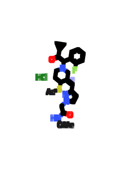 CONC(=O)Cn1ccc(/C=C2/CN(C(C(=O)C3CC3)c3ccccc3F)CCC2SC(C)=O)n1.Cl